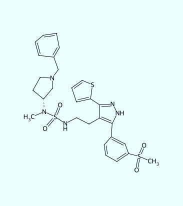 CN([C@@H]1CCN(Cc2ccccc2)C1)S(=O)(=O)NCCc1c(-c2cccs2)n[nH]c1-c1cccc(S(C)(=O)=O)c1